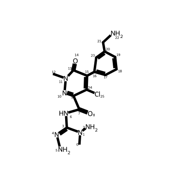 CN(N)/C(=N\N)NC(=O)c1nn(C)c(=O)c(-c2cccc(CN)c2)c1Cl